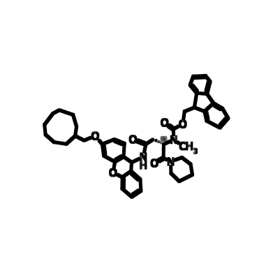 CN(C(=O)OCC1c2ccccc2-c2ccccc21)[C@@H](CC(=O)NC1c2ccccc2Oc2cc(OCC3CCCCCCCC3)ccc21)C(=O)N1CCCCC1